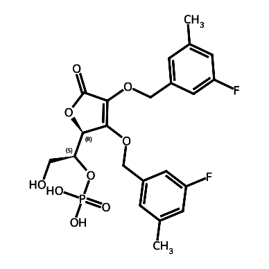 Cc1cc(F)cc(COC2=C(OCc3cc(C)cc(F)c3)[C@@H]([C@H](CO)OP(=O)(O)O)OC2=O)c1